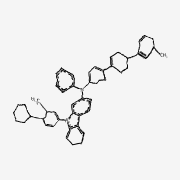 CC1C=C(C2CC=C(C3=CC=C(N(c4ccccc4)c4ccc5c6c(n(C7=CC(C)C(C8CCCCC8)C=C7)c5c4)=CCCC=6)CC3)CC2)C=CC1